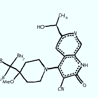 BC(B)(B)C1(OC)CCN(c2c(C#N)c(=O)[nH]c3cnc(C(C)O)cc23)CC1